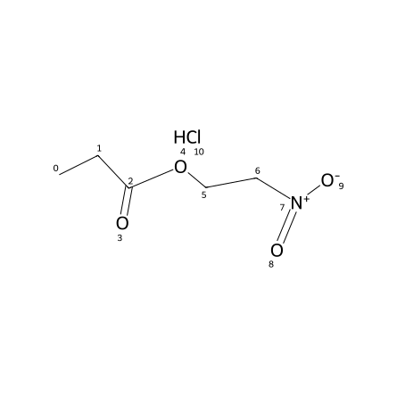 CCC(=O)OCC[N+](=O)[O-].Cl